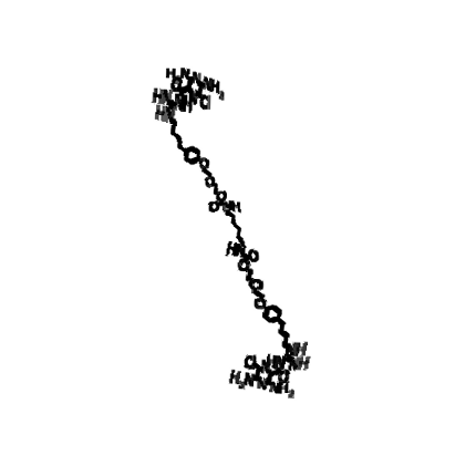 N=C(NCCCCc1ccc(OCCOCCOC(=O)NCCCCCCNC(=O)OCCOCCOc2ccc(CCCCNC(=N)NC(=O)c3nc(Cl)c(N)nc3N)cc2)cc1)NC(=O)c1nc(Cl)c(N)nc1N